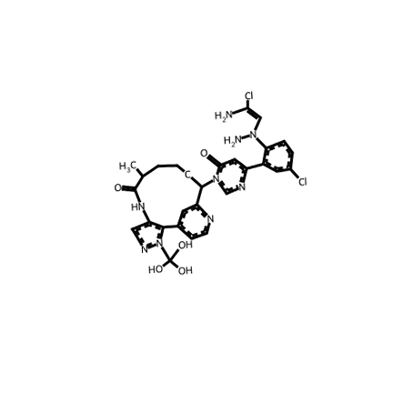 CC1CCCC(n2cnc(-c3cc(Cl)ccc3N(N)/C=C(\N)Cl)cc2=O)c2cc(ccn2)-c2c(cnn2C(O)(O)O)NC1=O